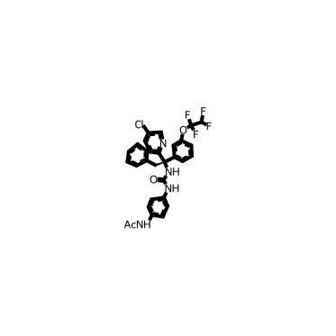 CC(=O)Nc1ccc(NC(=O)N[C@@](Cc2ccccc2)(c2cccc(OC(F)(F)C(F)F)c2)c2ccc(Cl)cn2)cc1